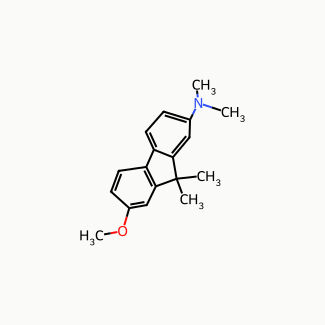 COc1ccc2c(c1)C(C)(C)c1cc(N(C)C)ccc1-2